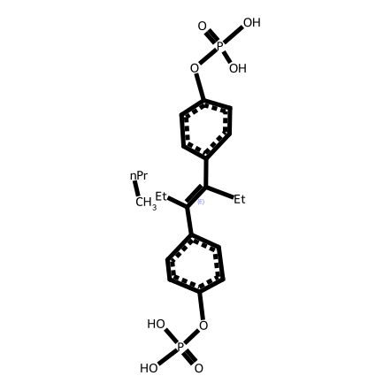 CC/C(=C(/CC)c1ccc(OP(=O)(O)O)cc1)c1ccc(OP(=O)(O)O)cc1.CCCC